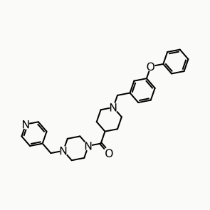 O=C(C1CCN(Cc2cccc(Oc3ccccc3)c2)CC1)N1CCN(Cc2ccncc2)CC1